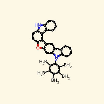 Bc1c(B)c(B)c(-n2c3ccccc3c3cc4c(cc32)oc2ccc3[nH]c5ccccc5c3c24)c(B)c1B